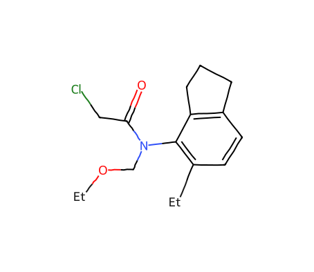 CCOCN(C(=O)CCl)c1c(CC)ccc2c1CCC2